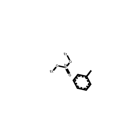 CCO[PH](=O)OCC.Cc1ccccc1